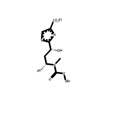 CCOC(=O)c1csc([C@H](O)C[C@@H](C(C)C)N(C)C(=O)OC(C)(C)C)n1